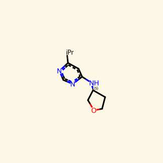 CC(C)c1cc(N[C@H]2CCOC2)ncn1